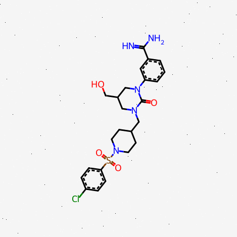 N=C(N)c1cccc(N2CC(CO)CN(CC3CCN(S(=O)(=O)c4ccc(Cl)cc4)CC3)C2=O)c1